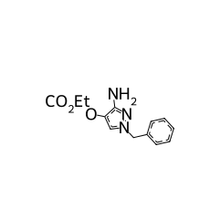 CCOC(=O)Oc1cn(Cc2ccccc2)nc1N